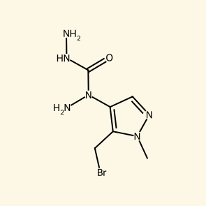 Cn1ncc(N(N)C(=O)NN)c1CBr